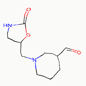 O=CC1CCCN(CC2CNC(=O)O2)C1